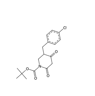 CC(C)(C)OC(=O)N1CC(Cc2ccc(Cl)cc2)C(=O)CC1=O